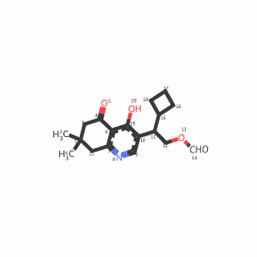 CC1(C)CC(=O)c2c(ncc(C(COC=O)C3CCC3)c2O)C1